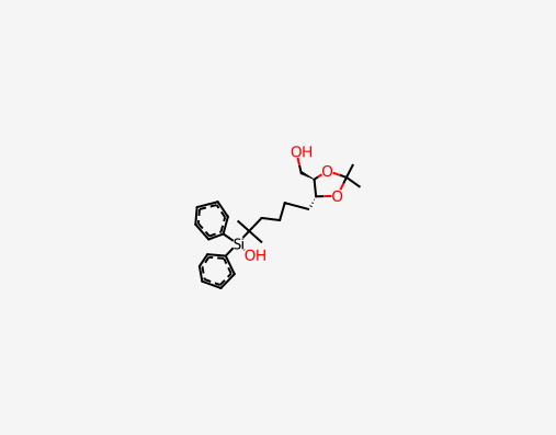 CC1(C)O[C@H](CO)[C@@H](CCCCC(C)(C)[Si](O)(c2ccccc2)c2ccccc2)O1